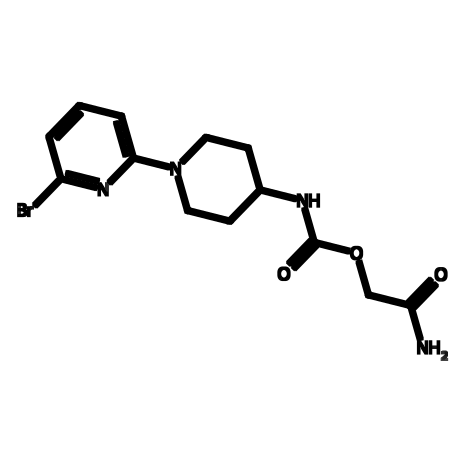 NC(=O)COC(=O)NC1CCN(c2cccc(Br)n2)CC1